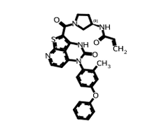 C=CC(=O)N[C@@H]1CCN(C(=O)c2sc3nccc4c3c2NC(=O)N4c2ccc(Oc3ccccc3)cc2C)C1